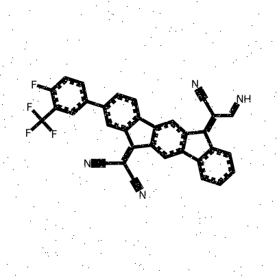 N#CC(C#N)=C1c2cc(-c3ccc(F)c(C(F)(F)F)c3)ccc2-c2cc3c(cc21)-c1ccccc1/C3=C(/C#N)C=N